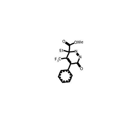 CCC1(C(=O)OC)N=NC(=O)C(c2ccccc2)=C1C(F)(F)F